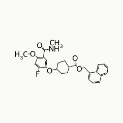 CNC(=O)c1cc(OC2CCC(C(=O)OCc3cccc4ccccc34)CC2)c(F)cc1OC